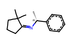 C[C@@H](N=C1CCCC1(C)C)c1ccccc1